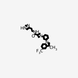 Cc1cn(-c2cccc(N3CC(C(=O)NCCc4c[nH]cn4)C3)c2)c2ccc(C(F)(F)F)cc12